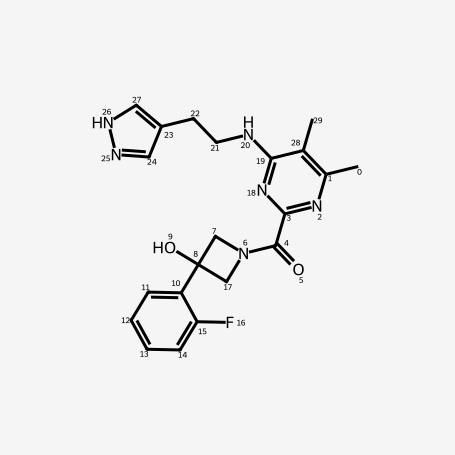 Cc1nc(C(=O)N2CC(O)(c3ccccc3F)C2)nc(NCCc2cn[nH]c2)c1C